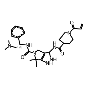 C=CC(=O)N1CCC(C(=O)NC2NNC3=C2CN(C(=O)N[C@H](CN(C)C)c2ccccc2)C3(C)C)CC1